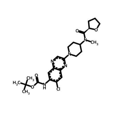 CN(C(=O)[C@H]1CCCO1)C1CCN(c2cnc3cc(NC(=O)OC(C)(C)C)c(Cl)cc3n2)CC1